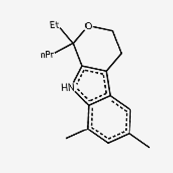 CCCC1(CC)OCCc2c1[nH]c1c(C)cc(C)cc21